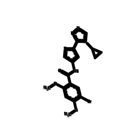 COc1cc(OC)c(C(=O)Nc2csc(-c3nncn3C3CC3)c2)cc1Br